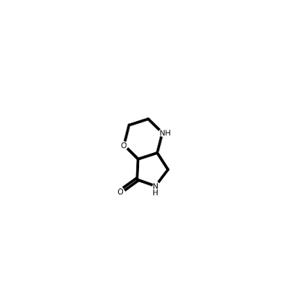 O=C1NCC2NCCOC12